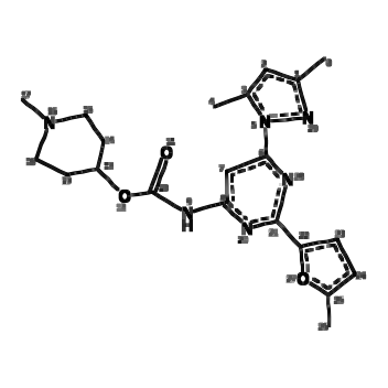 Cc1cc(C)n(-c2cc(NC(=O)OC3CCN(C)CC3)nc(-c3ccc(C)o3)n2)n1